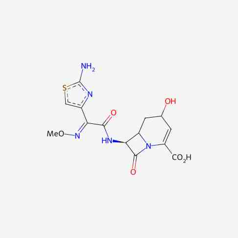 CON=C(C(=O)N[C@@H]1C(=O)N2C(C(=O)O)=CC(O)CC12)c1csc(N)n1